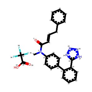 CN(C(=O)C=CCc1ccccc1)c1ccc(-c2ccccc2-c2nnn[nH]2)cc1.O=C(O)C(F)(F)F